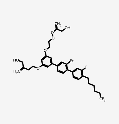 C=C(CO)CCOc1cc(OCCOOC(=C)CO)cc(-c2ccc(-c3ccc(CCCCCC(F)(F)F)c(F)c3)c(CC)c2)c1